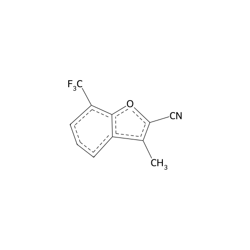 Cc1c(C#N)oc2c(C(F)(F)F)cccc12